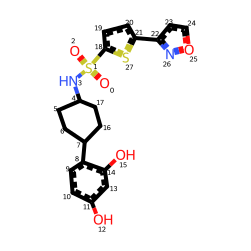 O=S(=O)(NC1CCC(c2ccc(O)cc2O)CC1)c1ccc(-c2ccon2)s1